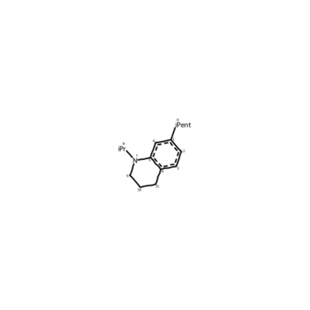 CCCC(C)c1ccc2c(c1)N(C(C)C)CCC2